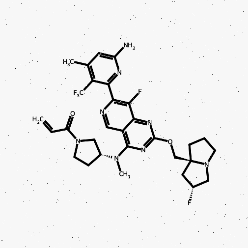 C=CC(=O)N1CC[C@@H](N(C)c2nc(OC[C@@]34CCCN3C[C@H](F)C4)nc3c(F)c(-c4nc(N)cc(C)c4C(F)(F)F)ncc23)C1